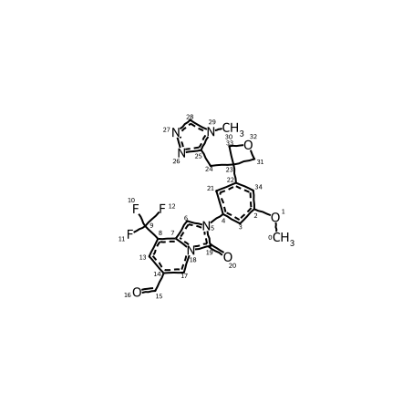 COc1cc(-n2cc3c(C(F)(F)F)cc(C=O)cn3c2=O)cc(C2(Cc3nncn3C)COC2)c1